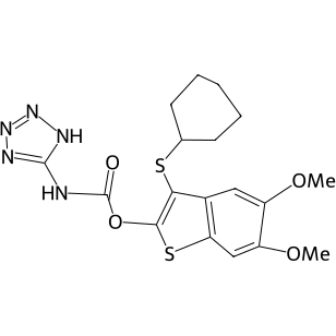 COc1cc2sc(OC(=O)Nc3nnn[nH]3)c(SC3CCCCC3)c2cc1OC